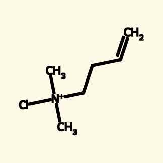 C=CCC[N+](C)(C)Cl